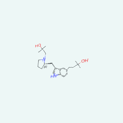 CC(C)(O)CCc1ccc2[nH]cc(C[C@H]3CCCN3CC(C)(C)O)c2c1